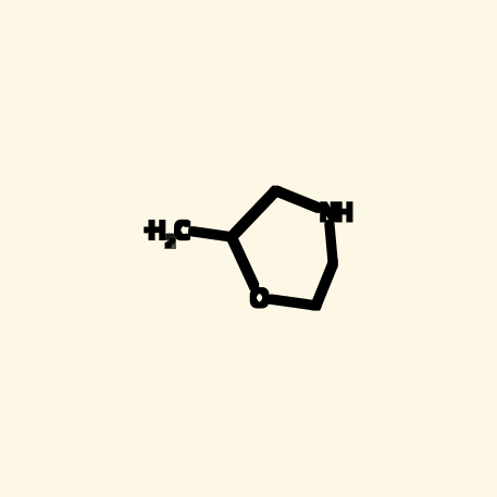 [CH2]C1CNCCO1